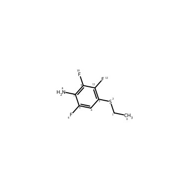 CCSc1cc(F)c(N)c(F)c1F